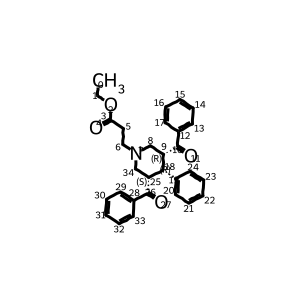 CCOC(=O)CCN1C[C@H](C(=O)c2ccccc2)[C@H](c2ccccc2)[C@H](C(=O)c2ccccc2)C1